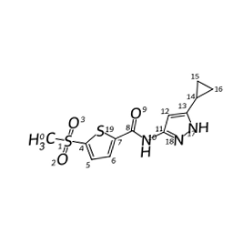 CS(=O)(=O)c1ccc(C(=O)Nc2cc(C3CC3)[nH]n2)s1